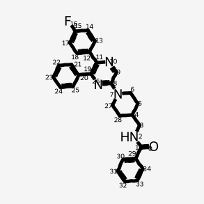 O=C(NCC1CCN(c2cnc(-c3ccc(F)cc3)c(-c3ccccc3)n2)CC1)c1ccccc1